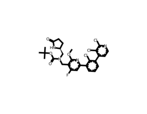 COc1nc(-c2cccc(-c3ccnc(Cl)c3Cl)c2Cl)cc(F)c1CN(C[C@@H]1CCC(=O)N1)C(=O)OC(C)(C)C